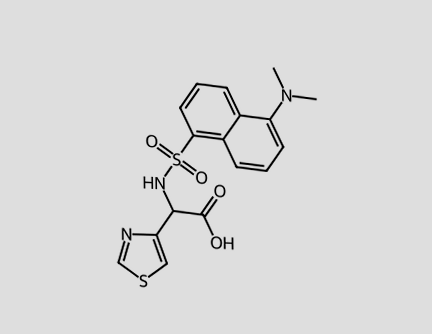 CN(C)c1cccc2c(S(=O)(=O)NC(C(=O)O)c3cscn3)cccc12